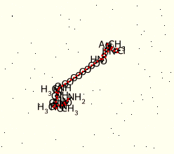 CC(=O)N1c2ccc(-c3ccc(C(=O)NCCOCCOCCOCCOCCOCCOCCOCCOCCNC(=O)c4nc(NC(=O)CCNC(=O)c5c(NC(=O)c6nc(NC(=O)CCN)cn6C)ccn5C)cn4C)cc3)cc2[C@H](Nc2ccc(Cl)cc2)C[C@@H]1C